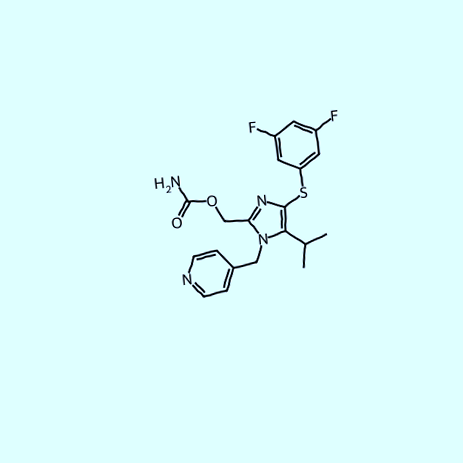 CC(C)c1c(Sc2cc(F)cc(F)c2)nc(COC(N)=O)n1Cc1ccncc1